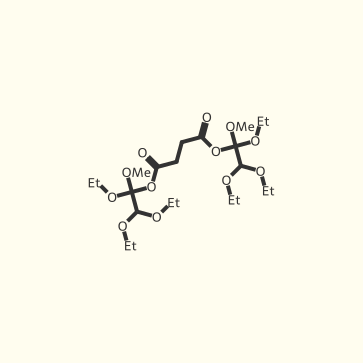 CCOC(OCC)C(OC)(OCC)OC(=O)CCC(=O)OC(OC)(OCC)C(OCC)OCC